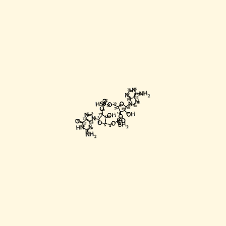 BP1(=O)OCC2OC(n3cnc4c(=O)[nH]c(N)nc43)C(OP(=O)(S)OCC3OC(n4cnc5c(N)ncnc54)C(O)C3O1)C2O